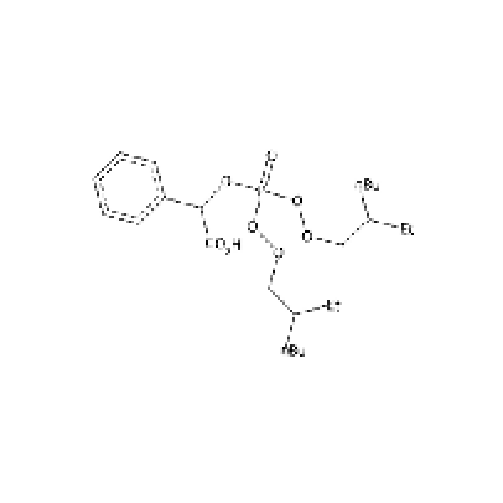 CCCCC(CC)COOP(=O)(OOCC(CC)CCCC)OC(C(=O)O)c1ccccc1